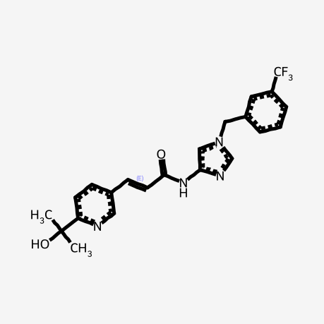 CC(C)(O)c1ccc(/C=C/C(=O)Nc2cn(Cc3cccc(C(F)(F)F)c3)cn2)cn1